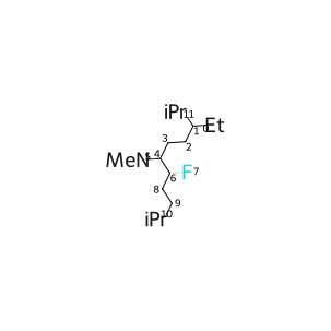 CCC(CCC(NC)[C@H](F)CCC(C)C)C(C)C